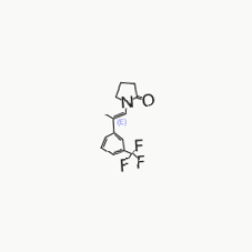 C/C(=C\N1CCCC1=O)c1cccc(C(F)(F)F)c1